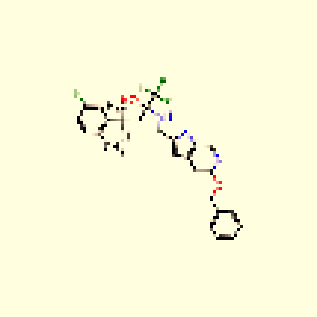 Cc1ccc(F)cc1C(C)(C)CC(O)(NCc1cc2cc(OCc3ccccc3)ncc2[nH]1)C(F)(F)F